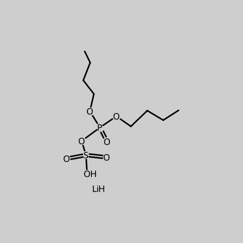 CCCCOP(=O)(OCCCC)OS(=O)(=O)O.[LiH]